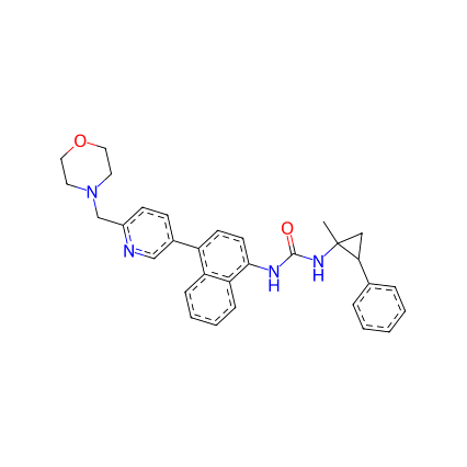 CC1(NC(=O)Nc2ccc(-c3ccc(CN4CCOCC4)nc3)c3ccccc23)CC1c1ccccc1